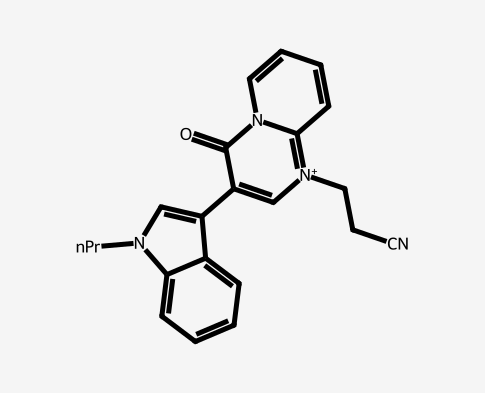 CCCn1cc(-c2c[n+](CCC#N)c3ccccn3c2=O)c2ccccc21